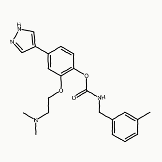 Cc1cccc(CNC(=O)Oc2ccc(-c3cn[nH]c3)cc2OCCN(C)C)c1